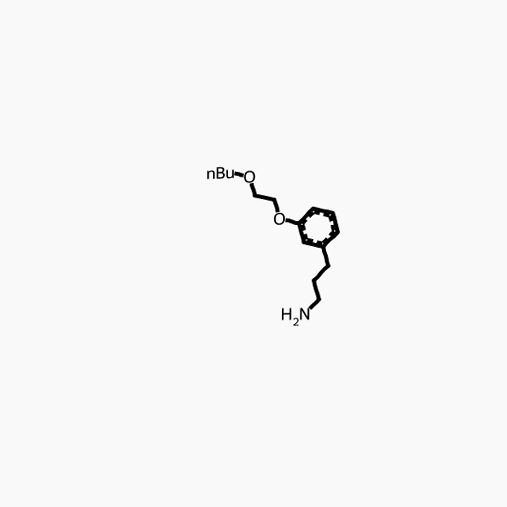 CCCCOCCOc1cccc(CCCN)c1